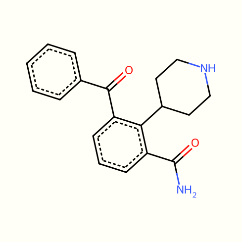 NC(=O)c1cccc(C(=O)c2ccccc2)c1C1CCNCC1